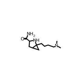 CN(C)CCCCC12CC1CC(C(N)=O)N2